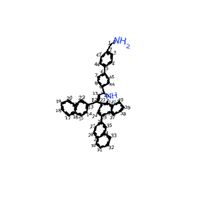 NCc1ccc(-c2ccc(C3C=C(c4ccc5ccccc5c4)c4cc(-c5ccc6ccccc6c5)c5ccccc5c4N3)cc2)cc1